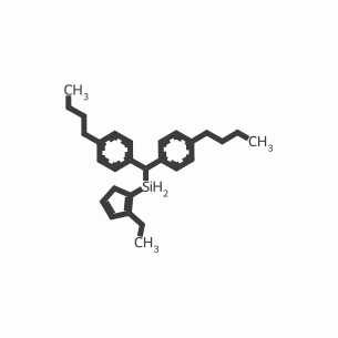 CCCCc1ccc(C([SiH2]C2=C(CC)C=CC2)c2ccc(CCCC)cc2)cc1